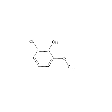 COc1cc[c]c(Cl)c1O